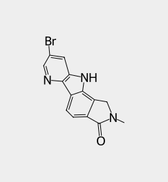 CN1Cc2c(ccc3c2[nH]c2cc(Br)cnc23)C1=O